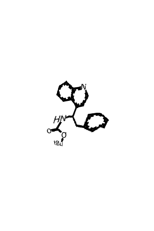 CC(C)(C)OC(=O)NC(Cc1ccccc1)c1ccnc2ccccc12